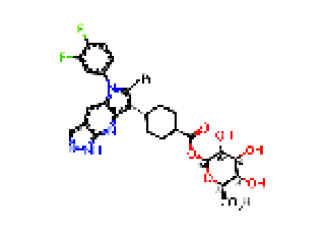 CC(C)c1c([C@H]2CC[C@H](C(=O)O[C@@H]3O[C@H](C(=O)O)[C@@H](O)[C@H](O)[C@H]3O)CC2)c2nc3[nH]ncc3cc2n1-c1ccc(F)c(F)c1